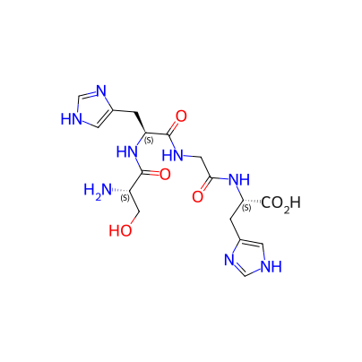 N[C@@H](CO)C(=O)N[C@@H](Cc1c[nH]cn1)C(=O)NCC(=O)N[C@@H](Cc1c[nH]cn1)C(=O)O